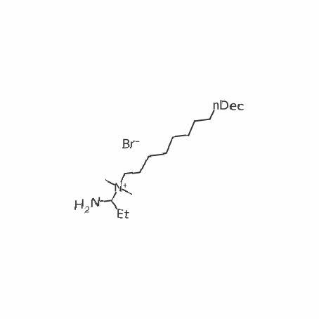 CCCCCCCCCCCCCCCCCC[N+](C)(C)C(N)CC.[Br-]